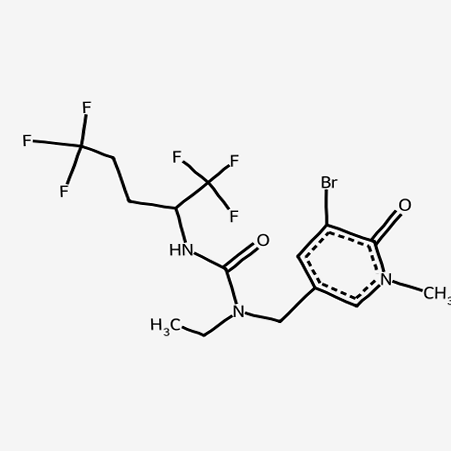 CCN(Cc1cc(Br)c(=O)n(C)c1)C(=O)NC(CCC(F)(F)F)C(F)(F)F